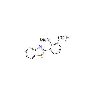 CNc1c(C(=O)O)cccc1-c1nc2ccccc2s1